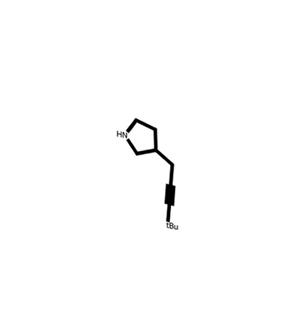 CC(C)(C)C#CCC1CCNC1